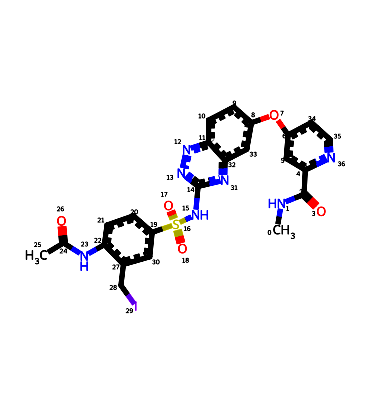 CNC(=O)c1cc(Oc2ccc3nnc(NS(=O)(=O)c4ccc(NC(C)=O)c(CI)c4)nc3c2)ccn1